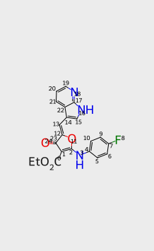 CCOC(=O)C1=C(Nc2ccc(F)cc2)OC(=Cc2c[nH]c3ncccc23)C1=O